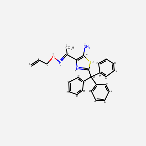 C=CCON=C(C(=O)O)c1nc(C(c2ccccc2)(c2ccccc2)c2ccccc2)sc1N